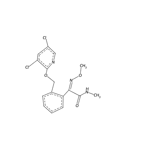 CNC(=O)/C(=N\OC)c1ccccc1COc1ncc(Cl)cc1Cl